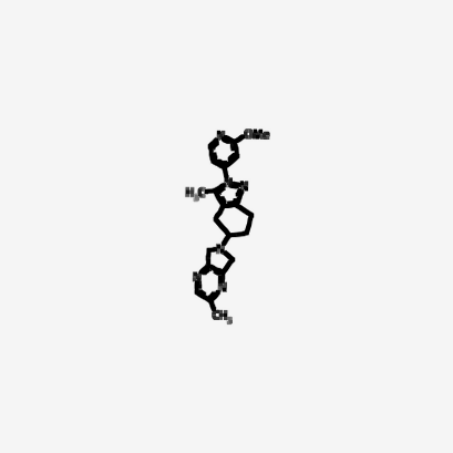 COc1cc(-n2nc3c(c2C)CC(N2Cc4ncc(C)nc4C2)CC3)ccn1